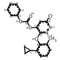 Cc1cccc(C2CC2)c1Oc1nnc(Cl)cc1OC(=O)Oc1ccccc1